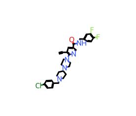 C#Cc1cc(C(=O)NCc2ccc(F)c(F)c2)cnc1N1CCN(C2CCN(Cc3ccc(Cl)cc3)CC2)CC1